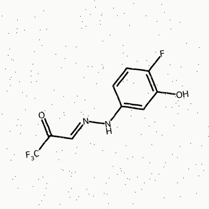 O=C(C=NNc1ccc(F)c(O)c1)C(F)(F)F